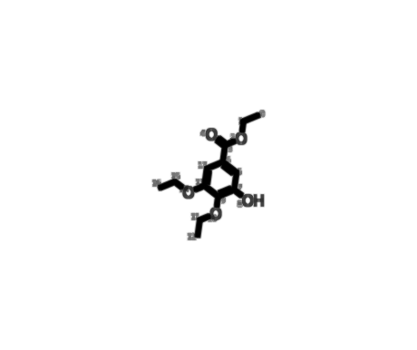 CCOC(=O)c1cc(O)c(OCC)c(OCC)c1